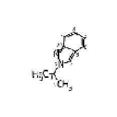 CC(C)n1cc2ccccc2n1